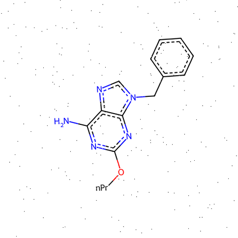 CCCOc1nc(N)c2ncn(Cc3ccccc3)c2n1